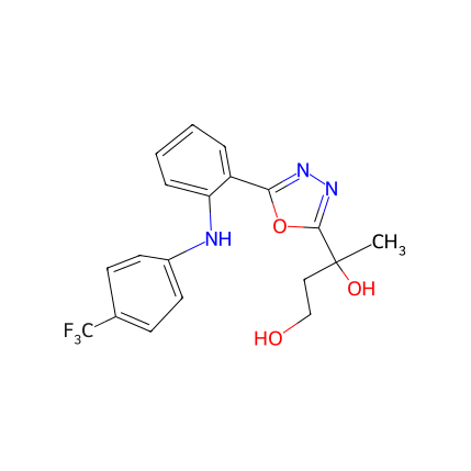 CC(O)(CCO)c1nnc(-c2ccccc2Nc2ccc(C(F)(F)F)cc2)o1